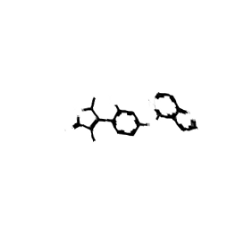 CC1=C(c2ccc(Oc3nccc4occc34)cc2F)C(C)OC1=O